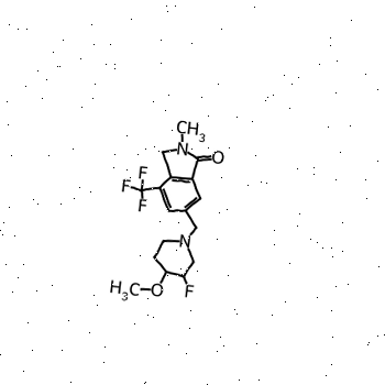 COC1CCN(Cc2cc3c(c(C(F)(F)F)c2)CN(C)C3=O)CC1F